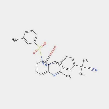 CC1=NC2=CC=CC3N(S(=O)(=O)c4cccc(C)c4)C(=O)N(c4ccc(C(C)(C)C#N)cc4)C23C=C1